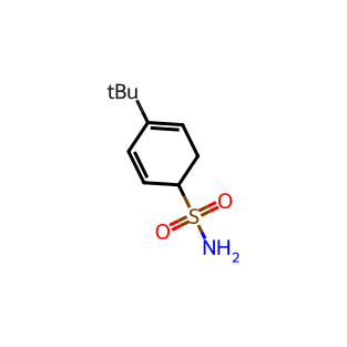 CC(C)(C)C1=CCC(S(N)(=O)=O)C=C1